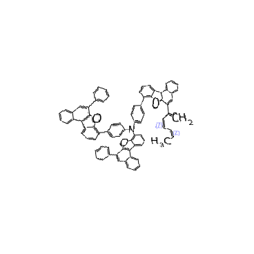 C=C(/C=C\C=C/C)c1cc2ccccc2c2c1oc1c(-c3ccc(N(c4ccc(-c5cccc6c5oc5c(-c7ccccc7)cc7ccccc7c56)cc4)c4cccc5c4oc4c(-c6ccccc6)cc6ccccc6c45)cc3)cccc12